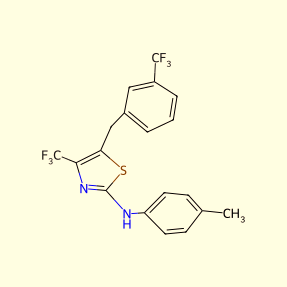 Cc1ccc(Nc2nc(C(F)(F)F)c(Cc3cccc(C(F)(F)F)c3)s2)cc1